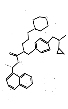 C[C@H](NC(=O)N(CCCN1CCOCC1)Cc1ccc(CN(C)C2CC2)cc1)c1cccc2ccccc12